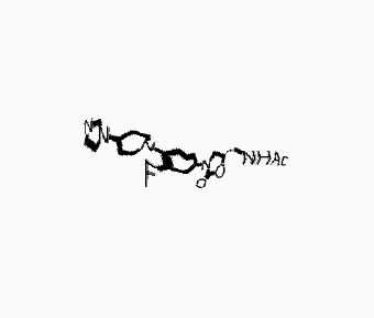 CC(=O)NC[C@H]1CN(c2ccc(N3CCC(n4ccnc4)CC3)c(F)c2)C(=O)O1